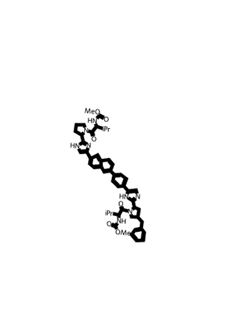 COC(=O)NC(C(=O)N1CCCC1c1nc(-c2ccc3cc(-c4ccc(-c5cnc(C6CC(Cc7ccccc7)CN6C(=O)C(NC(=O)OC)C(C)C)[nH]5)cc4)ccc3c2)c[nH]1)C(C)C